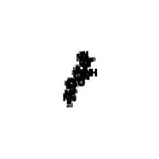 Cc1cc(-c2[nH]nc(C(=O)N[C@H]3CCCN(CC4=NC(C)N=N4)C3)c2C(C)C)cn2ncnc12